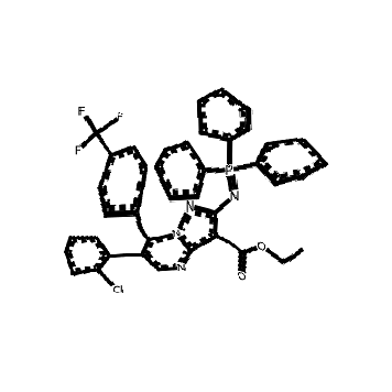 CCOC(=O)c1c(N=P(c2ccccc2)(c2ccccc2)c2ccccc2)nn2c(-c3ccc(C(F)(F)F)cc3)c(-c3ccccc3Cl)cnc12